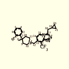 CC1(c2ccccc2F)CCN(Cc2ccn3c(CC4CC4)nnc3c2C(F)(F)F)CC1